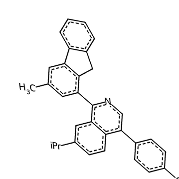 Cc1ccc(-c2cnc(-c3cc(C)cc4c3Cc3ccccc3-4)c3cc(C(C)C)ccc23)cc1